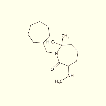 CNC1CCCC(C)(C)N(CC2CCCCCC2)C1=O